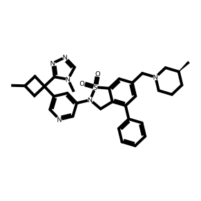 CC1CC(c2cncc(N3Cc4c(-c5ccccc5)cc(CN5CCC[C@H](C)C5)cc4S3(=O)=O)c2)(c2nncn2C)C1